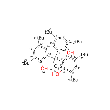 CC(C)(C)c1cc(C(C)(C)C)c(O)c(C(c2cc(C(C)(C)C)cc(C(C)(C)C)c2O)(c2cc(C(C)(C)C)cc(C(C)(C)C)c2O)S(=O)(=O)O)c1